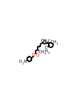 CC1=C(/C=C/C(C)=C\C=C\C(C)=C\C(=O)OCc2ccc([N+](=O)[O-])cc2)C(C)(C)CCC1